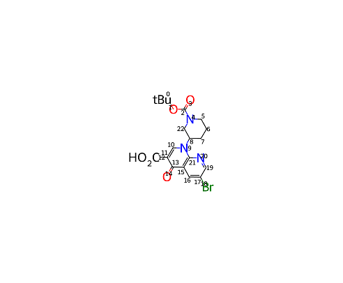 CC(C)(C)OC(=O)N1CCCC(n2cc(C(=O)O)c(=O)c3cc(Br)cnc32)C1